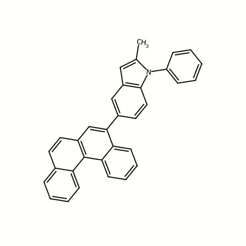 Cc1cc2cc(-c3cc4ccc5ccccc5c4c4ccccc34)ccc2n1-c1ccccc1